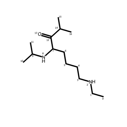 CCNCCCCC(NC(C)C)C(=O)C(C)C